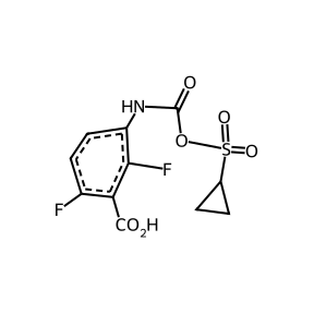 O=C(Nc1ccc(F)c(C(=O)O)c1F)OS(=O)(=O)C1CC1